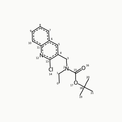 CCN(Cc1cc2ccccc2nc1Cl)C(=O)OC(C)(C)C